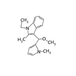 CCn1c(C)c(C(OC)c2cccn2C)c2ccccc21